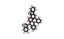 c1ccc(-c2c3ccccc3c(-c3coc4ccccc34)c3ccccc23)c(-c2ccc3oc4ccccc4c3c2)c1